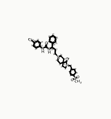 CS(=O)(=O)c1ccc(CN2CCC3(CCN(CCC(NC(=O)Nc4ccc(Cl)cc4)c4ccccc4)CC3)C2=O)cc1